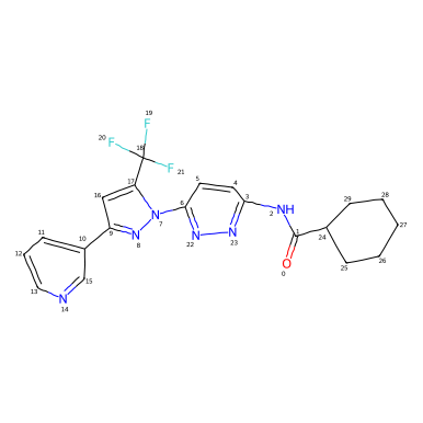 O=C(Nc1ccc(-n2nc(-c3cccnc3)cc2C(F)(F)F)nn1)C1CCCCC1